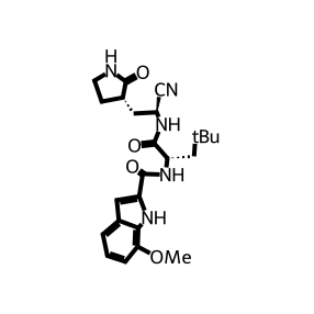 COc1cccc2cc(C(=O)N[C@@H](CC(C)(C)C)C(=O)N[C@H](C#N)C[C@@H]3CCNC3=O)[nH]c12